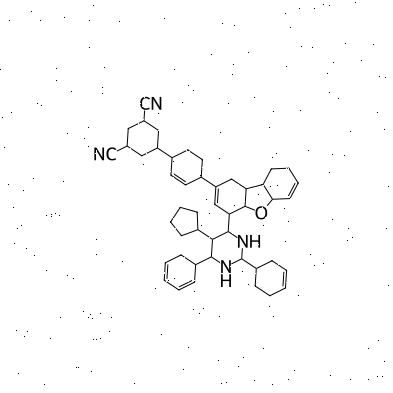 N#CC1CC(C#N)CC(C2C=CC(C3=CC(C4NC(C5CC=CCC5)NC(C5C=CC=CC5)C4C4CCCC4)C4OC5C=CCCC5C4C3)CC2)C1